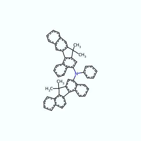 CC1(C)c2cc3ccccc3cc2-c2c1cc(N(c1ccccc1)c1cc3c(c4ccccc14)-c1ccc4ccccc4c1C3(C)C)c1ccccc21